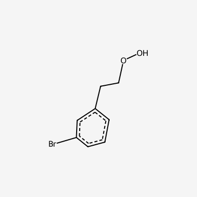 OOCCc1cccc(Br)c1